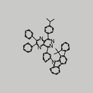 CC(C)c1ccc(-c2nnc(-c3cccc(-n4c5ccccc5c5ccc6c(c54)C(C)(C)c4ccccc4-6)c3)c3nc(-c4ccccc4)c(-c4ccccc4)nc23)cc1